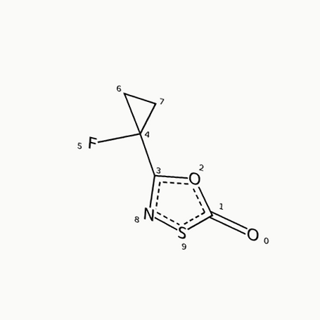 O=c1oc(C2(F)CC2)ns1